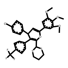 COc1cc(C2=CC(c3ccc(Cl)cc3)C(c3ccc(C(F)(F)F)cc3)=C(C3SCCCS3)O2)cc(OC)c1OC